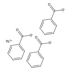 O=C([O-])c1ccccc1.O=C([O-])c1ccccc1.O=C([O-])c1ccccc1.[Yb+3]